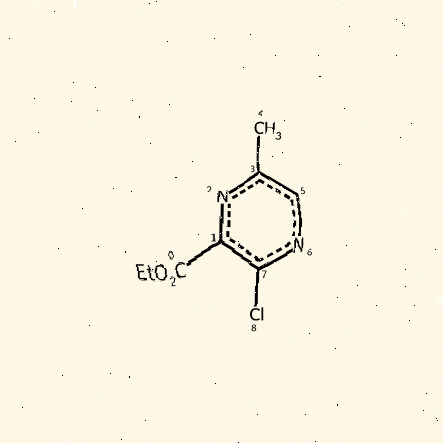 CCOC(=O)c1nc(C)cnc1Cl